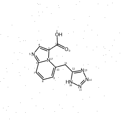 O=C(O)c1cnc2cccc(Cc3nnn[nH]3)n12